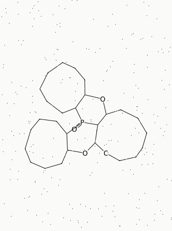 O=P12C3CCCCCCCC3OC3CCCCCCCC(OC4CCCCCCCC41)C32